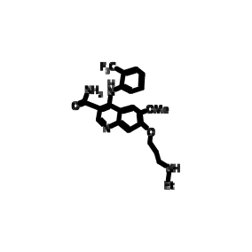 CCNCCCOc1cc2ncc(C(N)=O)c(Nc3ccccc3C(F)(F)F)c2cc1OC